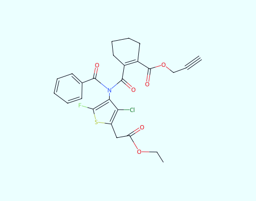 C#CCOC(=O)C1=C(C(=O)N(C(=O)c2ccccc2)c2c(F)sc(CC(=O)OCC)c2Cl)CCCC1